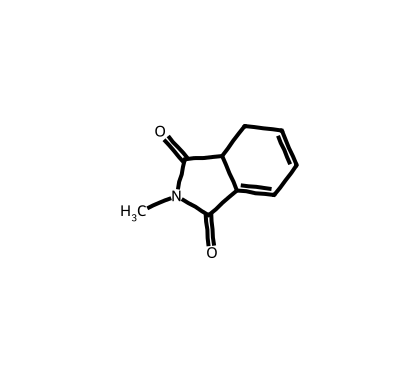 CN1C(=O)C2=CC=CCC2C1=O